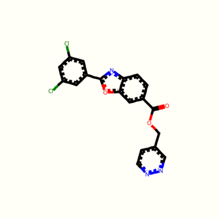 O=C(OCc1ccnnc1)c1ccc2nc(-c3cc(Cl)cc(Cl)c3)oc2c1